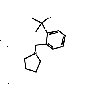 CC(C)(C)c1ccccc1CN1CCCC1